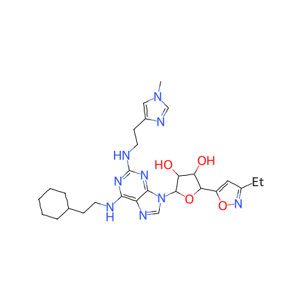 CCc1cc(C2OC(n3cnc4c(NCCC5CCCCC5)nc(NCCc5cn(C)cn5)nc43)C(O)C2O)on1